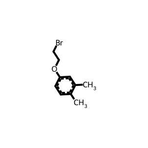 Cc1ccc(OCCBr)cc1C